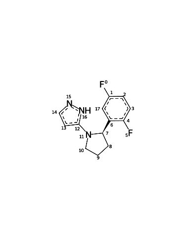 Fc1ccc(F)c([C@H]2CCCN2c2ccn[nH]2)c1